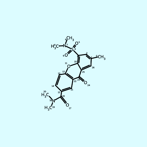 Cc1cc(S(=O)(=O)N(C)C)c2oc3ccc(C(=O)N(C)C)cc3c(=O)c2c1